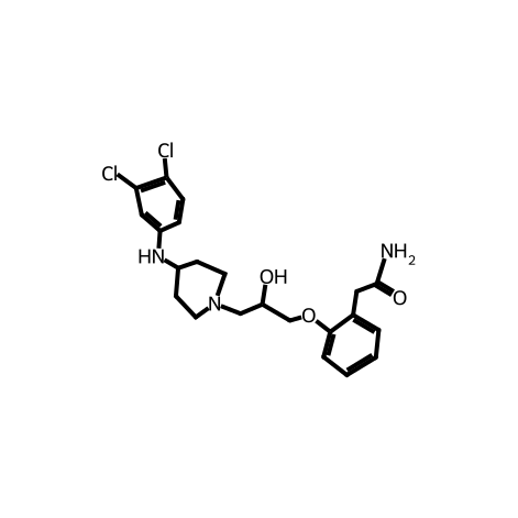 NC(=O)Cc1ccccc1OCC(O)CN1CCC(Nc2ccc(Cl)c(Cl)c2)CC1